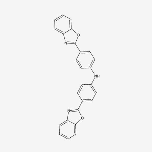 c1ccc2oc(-c3ccc(Nc4ccc(-c5nc6ccccc6o5)cc4)cc3)nc2c1